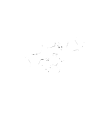 CCOC1=Nc2c(c(C)nn2-c2ccc(F)cc2)[C@H](c2ccc(F)cc2)[C@@H]1N